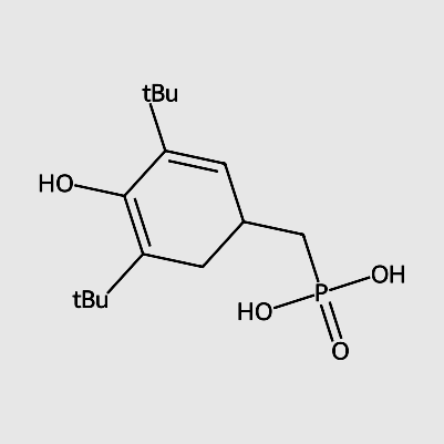 CC(C)(C)C1=CC(CP(=O)(O)O)CC(C(C)(C)C)=C1O